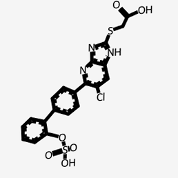 O=C(O)CSc1nc2nc(-c3ccc(-c4ccccc4OS(=O)(=O)O)cc3)c(Cl)cc2[nH]1